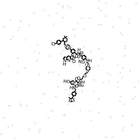 Cc1ncsc1-c1ccc(CNC(=O)[C@@H]2C[C@@H](O)CN2C(=O)[C@@H](NC(=O)CCOCCN2CCN(CCNc3ccc(S(=O)(=O)NC(=O)c4ccc(N5CCN(CC6=C(c7ccc(Cl)cc7)CC(C)(C)CC6)CC5)cc4-n4c5cc6cc[nH]c6nc5c(=O)n4C)cc3[N+](=O)[O-])CC2)C(C)(C)C)cc1